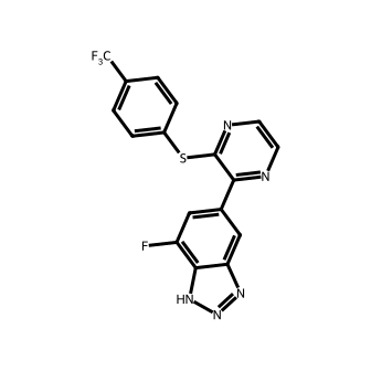 Fc1cc(-c2nccnc2Sc2ccc(C(F)(F)F)cc2)cc2nn[nH]c12